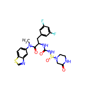 CN(C(=O)C(Cc1cc(F)cc(F)c1)NC(=O)N[S+]([O-])N1CCNC(=O)C1)c1ccc2scnc2c1